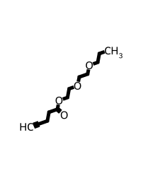 C#CCCC(=O)OCCOCCOCCC